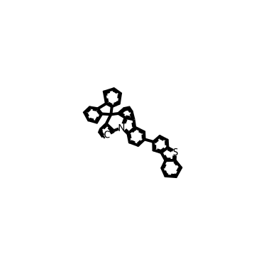 c1ccc2c(c1)-c1ccccc1C21c2ccccc2-n2c3ccc(-c4ccc5sc6ccccc6c5c4)cc3c3cccc1c32